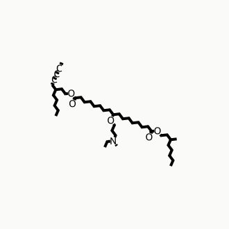 C=C=C=C=CC(CCCCC)CCOC(=O)CCCCCCCC(CCCCCCCC(=O)OCCC(C)CCCCC)OCCCN(C)CC